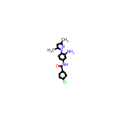 Cc1cc(C)n(-c2ccc(NC(=O)c3ccc(Cl)cc3)cc2N)n1